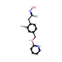 O/N=C(\Cl)Cc1ccc(COc2ccccn2)cc1F